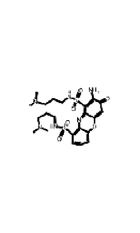 CN(C)CCCNS(=O)(=O)c1c2nc3c(S(=O)(=O)NCCCN(C)C)cccc3oc-2cc(=O)c1N